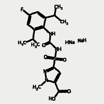 CC(C)c1cc(F)cc(C(C)C)c1NC(=O)NS(=O)(=O)c1cc(C(=O)O)n(C)n1.[NaH].[NaH]